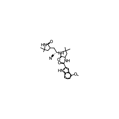 COc1cccc2[nH]c(C(=O)NC(CC(C)(C)C)C(=O)N[C@H](C#N)CC3CC(C)(C)NC3=O)cc12